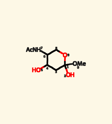 COC1(O)CC(O)C(NC(C)=O)CO1